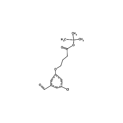 CC(C)(C)OC(=O)CCCOc1cc(Cl)cc(C=O)c1